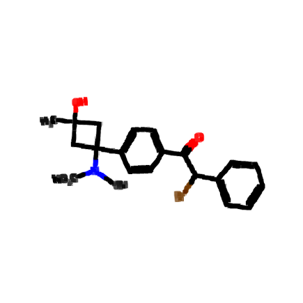 CC1(O)CC(c2ccc(C(=O)C(Br)c3ccccc3)cc2)(N(C(=O)O)C(C)(C)C)C1